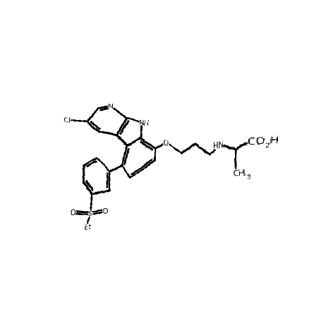 CCS(=O)(=O)c1cccc(-c2ccc(OCCCNC(C)C(=O)O)c3[nH]c4ncc(Cl)cc4c23)c1